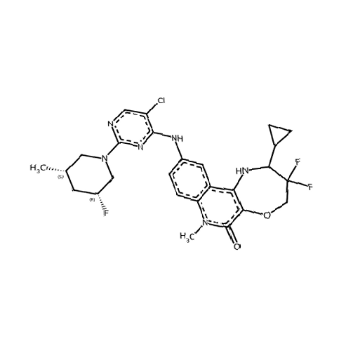 C[C@H]1C[C@@H](F)CN(c2ncc(Cl)c(Nc3ccc4c(c3)c3c(c(=O)n4C)OCC(F)(F)C(C4CC4)N3)n2)C1